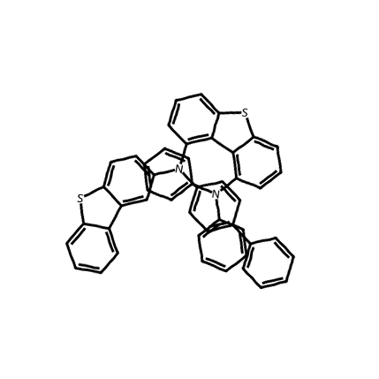 c1ccc(-c2ccc(N(c3ccc4sc5ccccc5c4c3)c3cccc4sc5cccc(N(c6ccccc6)c6ccccc6)c5c34)cc2)cc1